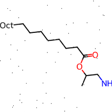 CCCCCCCCCCCCCCCC(=O)OC(C)CN